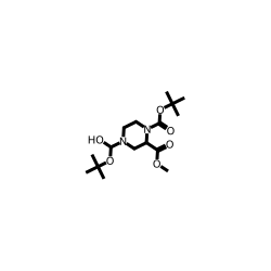 COC(=O)C1CN(C(O)OC(C)(C)C)CCN1C(=O)OC(C)(C)C